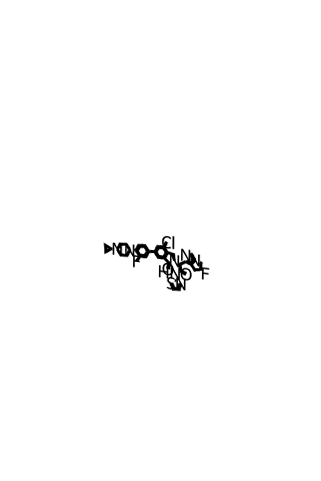 O=C(Nc1nccs1)C(c1ncn2c1C[C@@H](F)C2)N1Cc2c(Cl)cc(-c3ccc(N4CCN(C5CC5)CC4)c(F)c3)cc2C1=O